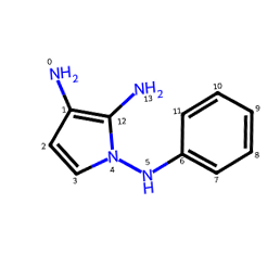 Nc1ccn(Nc2ccccc2)c1N